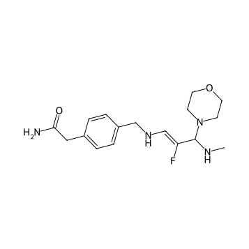 CNC(/C(F)=C/NCc1ccc(CC(N)=O)cc1)N1CCOCC1